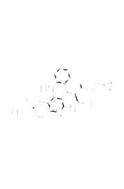 CC1=C(C(=O)OCC2CC2)C2c3ccccc3Nc3c4c(nc(c32)N1)CCC(C)(C)C4